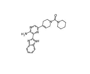 Nc1ncc(C2=CCN(C(=O)N3CCCCC3)CC2)nc1-c1nc2ccccc2[nH]1